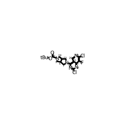 CC(C)(C)OC(=O)N1CC2CN(c3nc(Cl)nc4c(F)c(Cl)ncc34)CC2C1